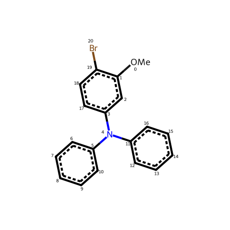 COc1cc(N(c2ccccc2)c2ccccc2)ccc1Br